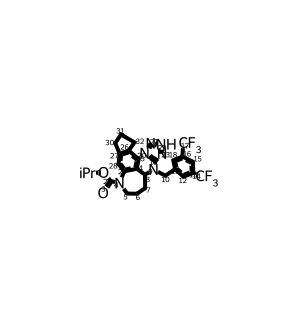 CC(C)OC(=O)N1CCCC(N(Cc2cc(C(F)(F)F)cc(C(F)(F)F)c2)c2nn[nH]n2)c2cc3c(cc21)CCC3